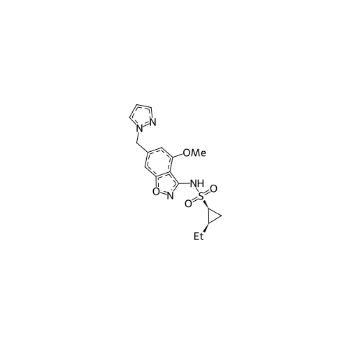 CC[C@@H]1C[C@@H]1S(=O)(=O)Nc1noc2cc(Cn3cccn3)cc(OC)c12